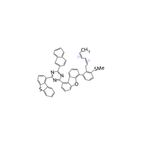 C/C=C\C=C/Cc1c(SC)cccc1-c1cccc2c1oc1cccc(-c3nc(-c4ccc5ccccc5c4)nc(-c4cccc5sc6ccccc6c45)n3)c12